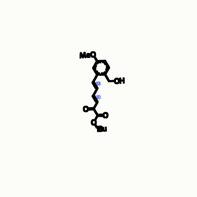 CCC(C)OC(=O)C(=O)/C=C/C=C/c1cc(OC)ccc1CO